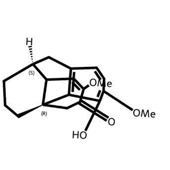 COC1=CC2[C@H]3CCC[C@]2(CC1=O)c1c(ccc(OC)c1O)C3